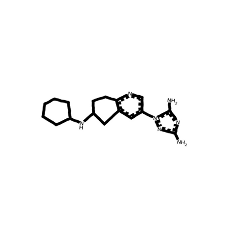 Nc1nc(N)n(-c2cnc3c(c2)CC(NC2CCCCC2)CC3)n1